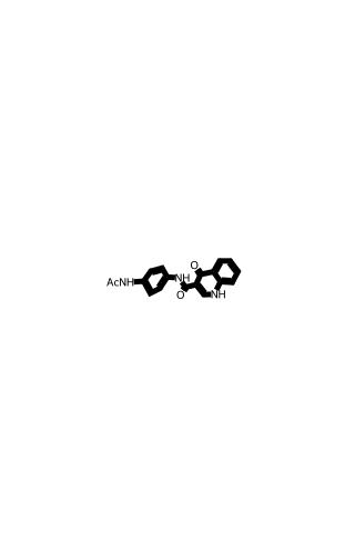 CC(=O)Nc1ccc(NC(=O)c2c[nH]c3ccccc3c2=O)cc1